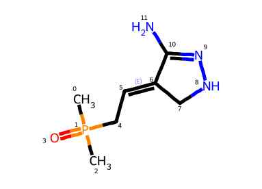 CP(C)(=O)C/C=C1\CNN=C1N